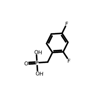 O=P(O)(O)Cc1ccc(F)cc1F